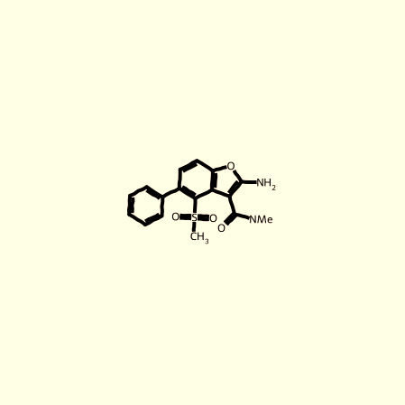 CNC(=O)c1c(N)oc2ccc(-c3ccccc3)c(S(C)(=O)=O)c12